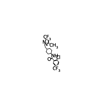 Cc1cc(C(F)(F)F)nn1CC1CCC(NC(=O)c2cc(C(F)(F)F)ccc2Cl)CC1